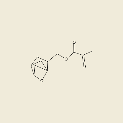 C=C(C)C(=O)OCC1CC2CC13CC2O3